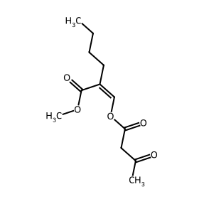 CCCCC(=COC(=O)CC(C)=O)C(=O)OC